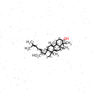 CC(C)=CCC[C@@H](C(=O)O)[C@H]1CC[C@@]2(C)C3=CC[C@H]4C(C)(C)[C@@H](O)CC[C@]4(C)C3=CC[C@]12C